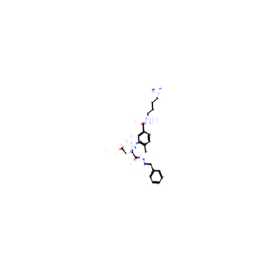 CN(C)CCCCNC(=O)c1ccc2c(c1)N[C@H](CC(=O)O)C(=O)N(CCc1ccccc1)C2